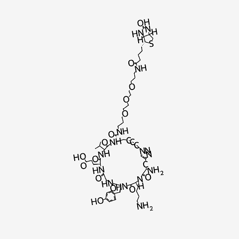 CC(C)C1NC(=O)[C@H](CCC(=O)O)NC(=O)CNC(=O)[C@H](Cc2ccc(O)cc2)NC(=O)[C@H](CCCCN)NC(=O)[C@@H](N)Cc2cn(nn2)CCCC[C@@H](C(=O)NCCCOCCOCCOCCCNC(=O)CCCC[C@H]2SC[C@H]3NC(=O)N[C@H]32)NC1=O